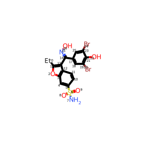 CCc1oc2cc(S(N)(=O)=O)ccc2c1C(=NO)c1cc(Br)c(O)c(Br)c1